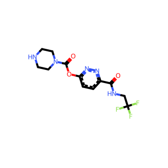 O=C(NCC(F)(F)F)c1ccc(OC(=O)N2CCNCC2)nn1